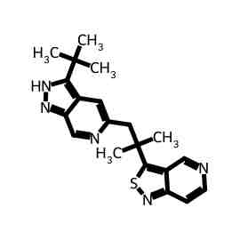 CC(C)(C)c1[nH]nc2cnc(CC(C)(C)c3snc4ccncc34)cc12